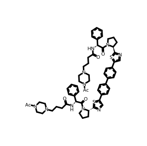 CC(=O)N1CCN(CCCC(=O)N[C@@H](C(=O)N2CCC[C@H]2c2ncc(-c3ccc(-c4ccc(-c5cnc([C@@H]6CCCN6C(=O)[C@H](NC(=O)CCCN6CCN(C(C)=O)CC6)c6ccccc6)s5)cc4)cc3)s2)c2ccccc2)CC1